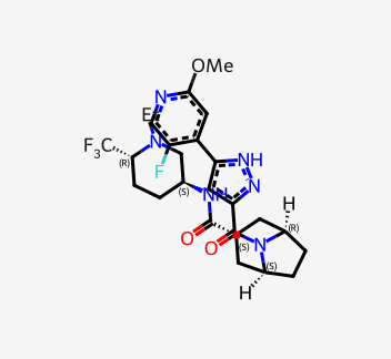 CCN1C[C@@H](NC(=O)[C@@H]2C[C@H]3CC[C@@H](C2)N3C(=O)c2cc(-c3cc(OC)ncc3F)[nH]n2)CC[C@@H]1C(F)(F)F